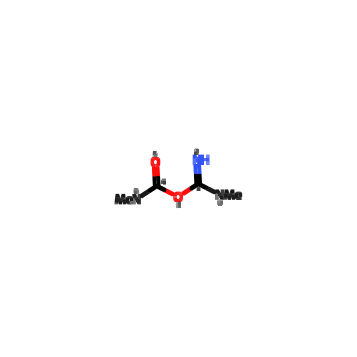 CNC(=N)OC(=O)NC